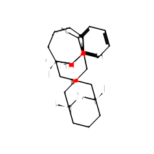 O=[N+]([O-])c1ccccc1N[C@H]1C[C@H]2CCC[C@@H](C1)N2[C@@H]1C[C@@H]2CCCC[C@@H](C2)C1